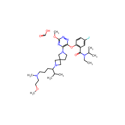 CCN(C(=O)c1cc(F)ccc1Oc1nnc(OC)nc1N1CCC2(C1)CN(C(CCCN(C)CCOC)C(C)C)C2)C(C)C.O=CO